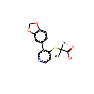 CC(C)(Sc1ccncc1-c1ccc2c(c1)OCO2)C(=O)O